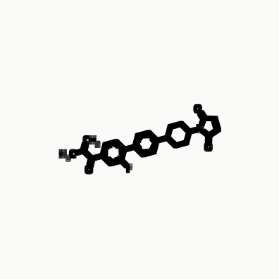 C=C(C)C(=O)c1ccc(-c2ccc(C3CCC(N4C(=O)C=CC4=O)CC3)cc2)c(F)c1